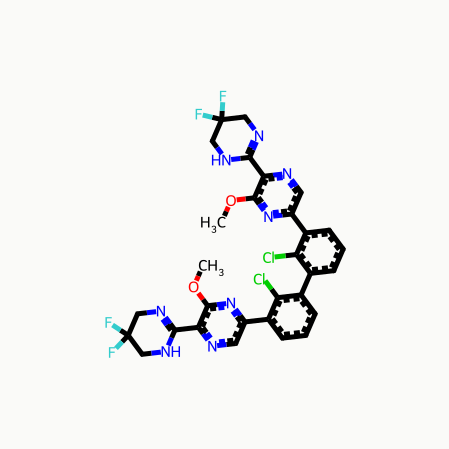 COc1nc(-c2cccc(-c3cccc(-c4cnc(C5=NCC(F)(F)CN5)c(OC)n4)c3Cl)c2Cl)cnc1C1=NCC(F)(F)CN1